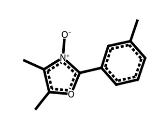 Cc1cccc(-c2oc(C)c(C)[n+]2[O-])c1